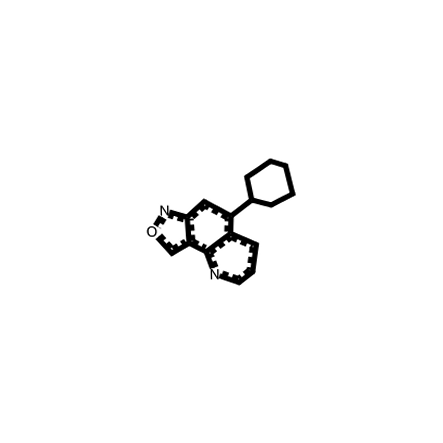 c1cnc2c(c1)c(C1CCCCC1)cc1nocc12